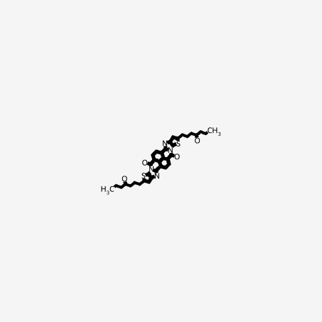 CCCC(=O)CCCc1cc2nc3c4ccc5c(=O)n6c(nc7cc(CCCC(=O)CCC)sc76)c6ccc(c(=O)n3c2s1)c4c56